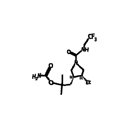 CC[C@H]1CN(C(=O)NCC(F)(F)F)C[C@H]1CC(C)(C)OC(N)=O